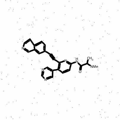 CNC(C)C(=O)Nc1ccc(-c2cncnc2)c(C#Cc2ccc3ccncc3c2)n1